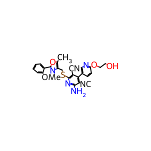 [C-]#[N+]c1c(N)nc(SCc2nc(-c3ccccc3OC)oc2C)c(C#N)c1-c1ccc(OCCO)nc1